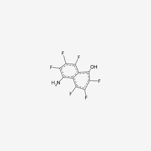 Nc1c(F)c(F)c(F)c2c(O)c(F)c(F)c(F)c12